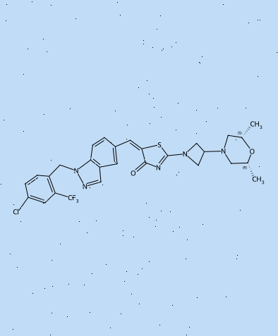 C[C@@H]1CN(C2CN(C3=NC(=O)C(=Cc4ccc5c(cnn5Cc5ccc(Cl)cc5C(F)(F)F)c4)S3)C2)C[C@H](C)O1